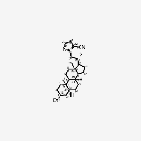 CC[C@H]1CC[C@]2(C)C3CC[C@@]4(C)C(CCC4[C@@H](C)Cn4nccc4C#N)[C@@H]3CC[C@@H]2C1